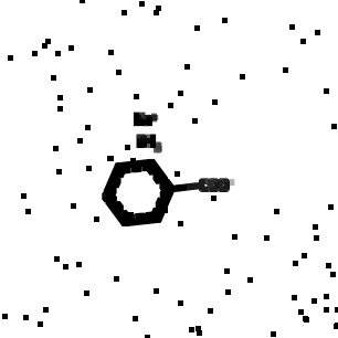 B.O=C([O-])c1ccccc1.[Na+]